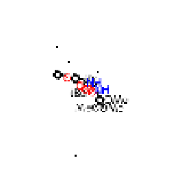 COc1cc(C(=O)NC(CC(C)C)C(=O)NC(Cc2ccc(OCc3ccccc3)cc2)C(=O)OC(C)(C)C)cc(OC)c1OC